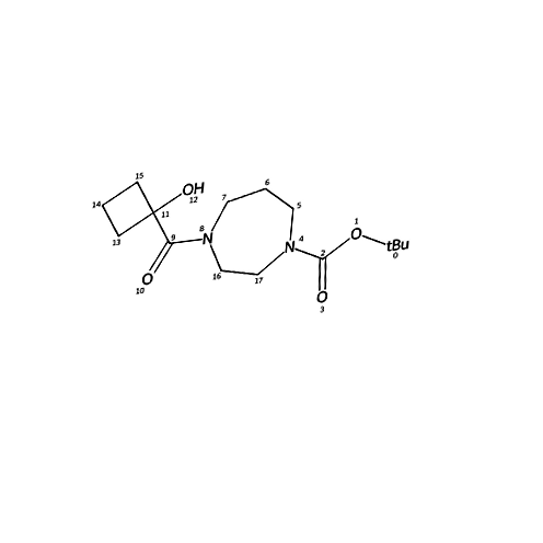 CC(C)(C)OC(=O)N1CCCN(C(=O)C2(O)CCC2)CC1